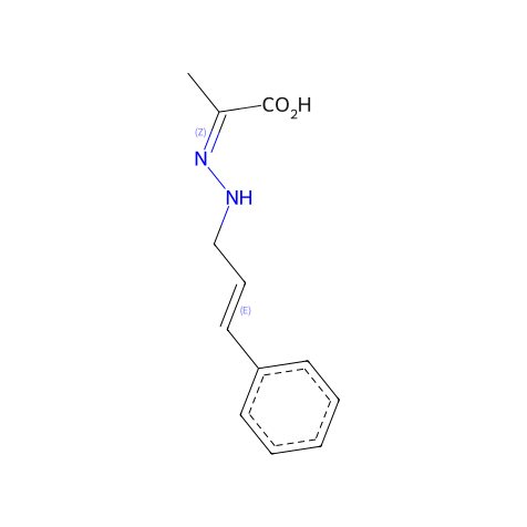 C/C(=N/NC/C=C/c1ccccc1)C(=O)O